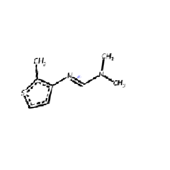 Cc1sccc1/N=C/N(C)C